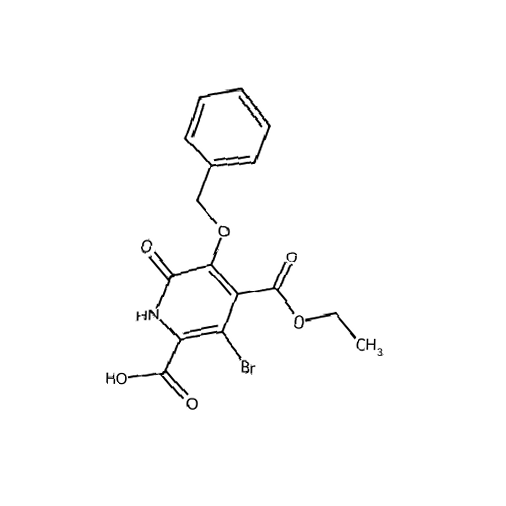 CCOC(=O)c1c(Br)c(C(=O)O)[nH]c(=O)c1OCc1ccccc1